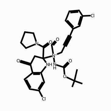 CC(C)(C)OC(=O)N[N+](C=O)(CC#Cc1cccc(Cl)c1)C1(C(=O)N2CCCC2)CC(=O)c2ccc(Cl)cc2N1